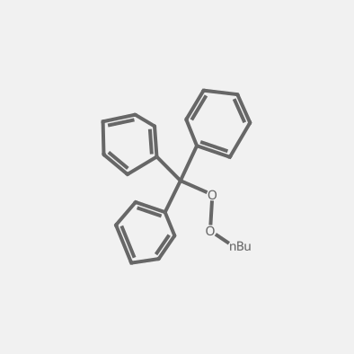 CCCCOOC(c1ccccc1)(c1ccccc1)c1ccccc1